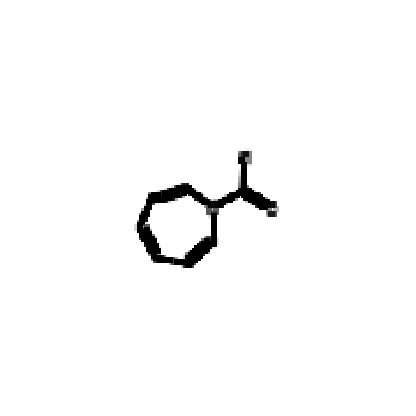 O=C(Cl)N1C=CC=CC=C1